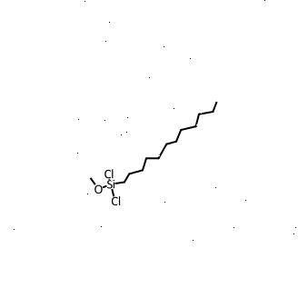 CCCCCCCCCCCC[Si](Cl)(Cl)OC